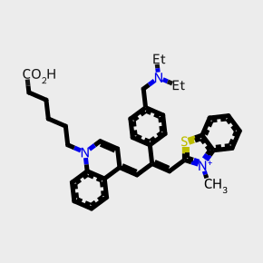 CCN(CC)Cc1ccc(C(=C\c2sc3ccccc3[n+]2C)/C=C2\C=CN(CCCCCC(=O)O)c3ccccc32)cc1